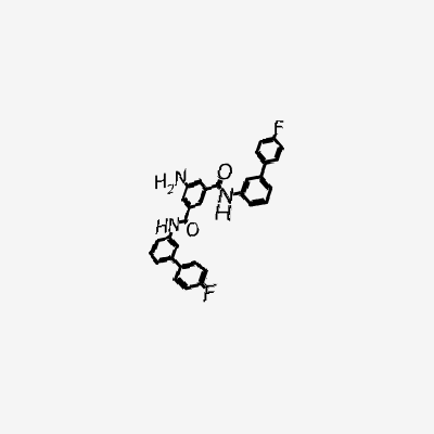 Nc1cc(C(=O)Nc2cccc(-c3ccc(F)cc3)c2)cc(C(=O)Nc2cccc(-c3ccc(F)cc3)c2)c1